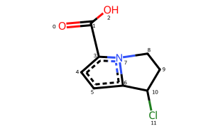 O=C(O)c1ccc2n1CCC2Cl